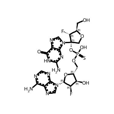 Nc1nc2c(ncn2[C@]2(OP(O)(=S)OC[C@H]3O[C@@H](n4cnc5c(N)ncnc54)[C@H](F)[C@@H]3O)CO[C@H](CO)[C@H]2F)c(=O)[nH]1